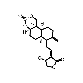 C=C1CC[C@@H]2[C@]3(C)CO[S@@](=O)O[C@@H]3CC[C@@]2(C)[C@@H]1C/C=C1/C(=O)OC[C@H]1O